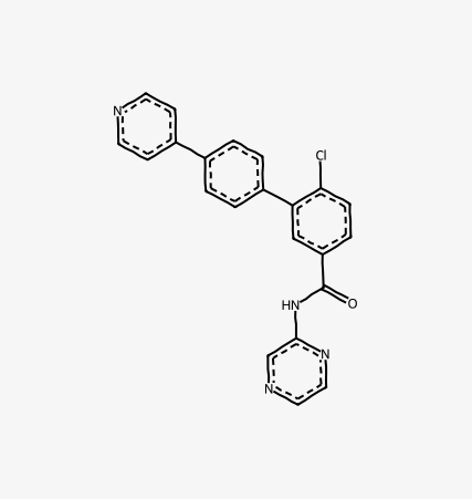 O=C(Nc1cnccn1)c1ccc(Cl)c(-c2ccc(-c3ccncc3)cc2)c1